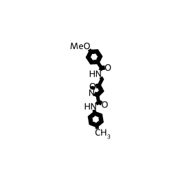 COc1ccc(C(=O)NCc2cc(C(=O)Nc3ccc(C)cc3)no2)cc1